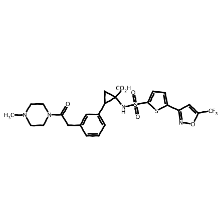 CN1CCN(C(=O)Cc2cccc(C3CC3(NS(=O)(=O)c3ccc(-c4cc(C(F)(F)F)on4)s3)C(=O)O)c2)CC1